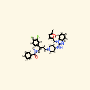 Cc1ccc(Cn2c(NC3CCN(CCC(CN(C)C(=O)c4ccccc4)c4ccc(F)c(F)c4)CC3)nc3ccccc32)o1